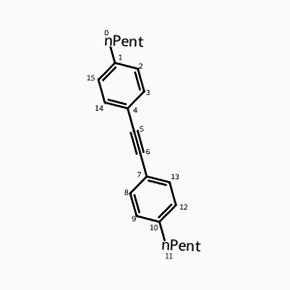 CCCCCc1ccc(C#Cc2ccc(CCCCC)cc2)cc1